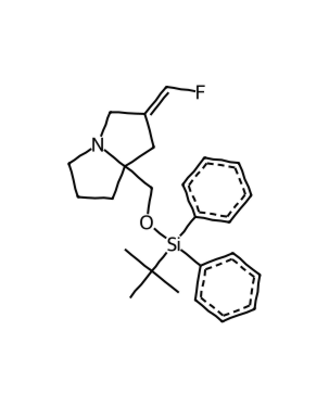 CC(C)(C)[Si](OCC12CCCN1CC(=CF)C2)(c1ccccc1)c1ccccc1